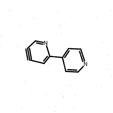 c1cnc(-c2ccncc2)cc#1